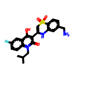 CC(C)Cn1c(=O)c(C2=CS(=O)(=O)c3ccc(CN)cc3N2)c(O)c2cc(F)ccc21